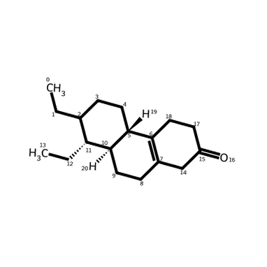 CCC1CC[C@@H]2C3=C(CC[C@H]2[C@@H]1CC)CC(=O)CC3